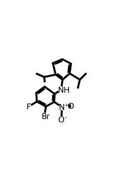 CC(C)c1cccc(C(C)C)c1Nc1ccc(F)c(Br)c1[N+](=O)[O-]